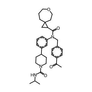 CC(=O)c1ccc(CN(C(=O)C2CC23CCCOCC3)c2cccc(C3CCN(C(=O)NC(C)C)CC3)c2)cc1